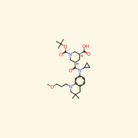 COCCCN1CC(C)(C)Cc2ccc(N(C(=O)[C@@H]3C[C@H](C(=O)O)CN(C(=O)OC(C)(C)C)C3)C3CC3)cc21